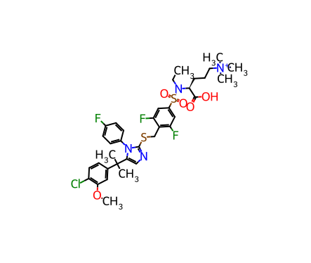 CCN([C@@H](CCC[N+](C)(C)C)C(=O)O)S(=O)(=O)c1cc(F)c(CSc2ncc(C(C)(C)c3ccc(Cl)c(OC)c3)n2-c2ccc(F)cc2)c(F)c1